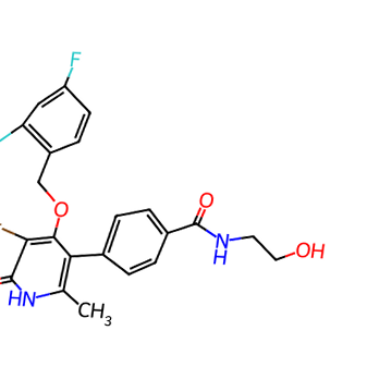 Cc1[nH]c(=O)c(Br)c(OCc2ccc(F)cc2F)c1-c1ccc(C(=O)NCCO)cc1